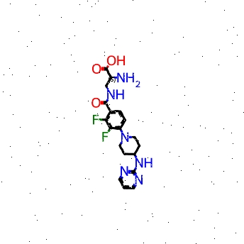 N[C@@H](CNC(=O)c1ccc(N2CCC(Nc3ncccn3)CC2)c(F)c1F)C(=O)O